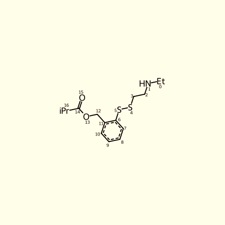 CCNCCSSc1ccccc1COC(=O)C(C)C